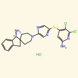 Cl.Nc1cc(Sc2cnc(N3CCC4(CC3)Cc3ccccc3[C@H]4N)cn2)c(Cl)c(Cl)n1